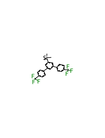 C[Si](C)(C)c1cc(-c2ccc(C(F)(F)F)cc2)cc(-c2ccc(C(F)(F)F)cc2)c1